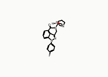 O=C1c2cccc3c2c(nn3-c2ccc(F)cc2)CN1[C@H]1CN2CCC1CC2